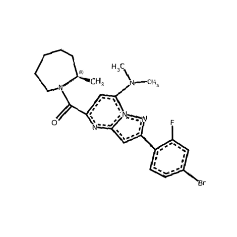 C[C@@H]1CCCCCN1C(=O)c1cc(N(C)C)n2nc(-c3ccc(Br)cc3F)cc2n1